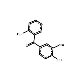 Cc1cccnc1C(=O)c1ccc(O)c(C(C)(C)C)c1